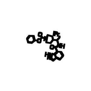 CC(C)CC(NC(=O)c1cccc2cn[nH]c12)C1CCN(C(=O)Oc2ccccc2)CC1